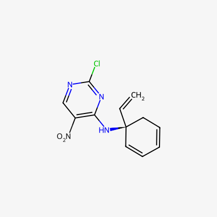 C=C[C@@]1(Nc2nc(Cl)ncc2[N+](=O)[O-])C=CC=CC1